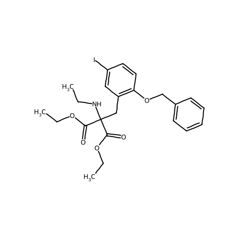 CCNC(Cc1cc(I)ccc1OCc1ccccc1)(C(=O)OCC)C(=O)OCC